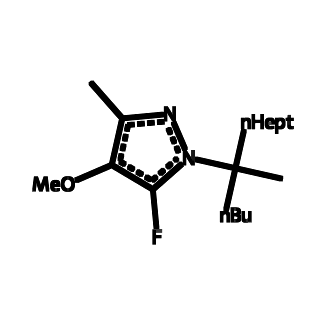 CCCCCCCC(C)(CCCC)n1nc(C)c(OC)c1F